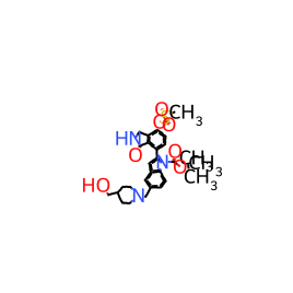 CC(C)(C)OC(=O)n1c(-c2ccc(OS(C)(=O)=O)c3c2C(=O)NC3)cc2cc(CN3CCC(CO)CC3)ccc21